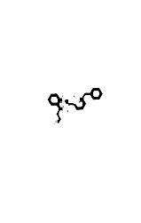 CCCc1nc(-c2cccc(Cc3ccccc3)n2)nc2ccccc12